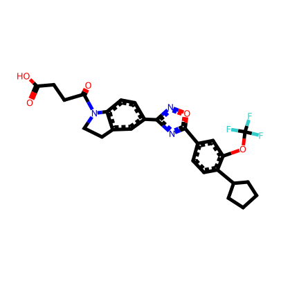 O=C(O)CCC(=O)N1CCc2cc(-c3noc(-c4ccc(C5CCCC5)c(OC(F)(F)F)c4)n3)ccc21